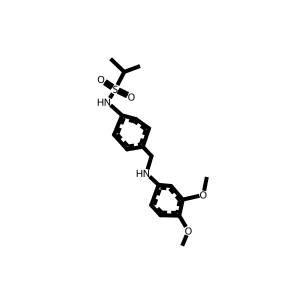 COc1ccc(NCc2ccc(NS(=O)(=O)C(C)C)cc2)cc1OC